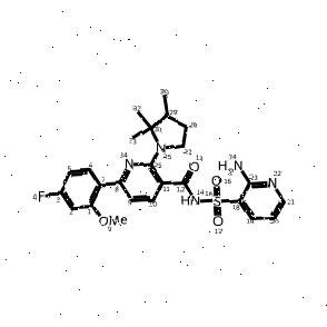 COc1cc(F)ccc1-c1ccc(C(=O)NS(=O)(=O)c2cccnc2N)c(N2CCC(C)C2(C)C)n1